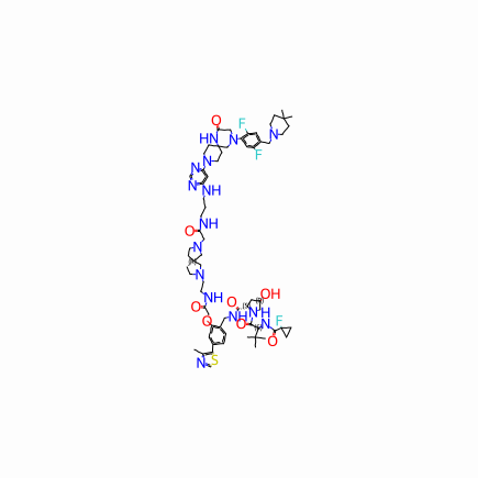 Cc1ncsc1-c1ccc(CNC(=O)[C@@H]2C[C@@H](O)CN2C(=O)[C@@H](NC(=O)C2(F)CC2)C(C)(C)C)c(OCC(=O)NCCN2CC[C@@]3(CCN(CC(=O)NCCCNc4cc(N5CCC6(CC5)CN(c5cc(F)c(CN7CCC(C)(C)CC7)cc5F)CC(=O)N6)ncn4)C3)C2)c1